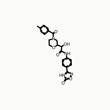 Cc1ccc(C(=O)N2CCOC(C(O)C(=O)Nc3ccc(-c4noc(=O)[nH]4)cc3)C2)cc1